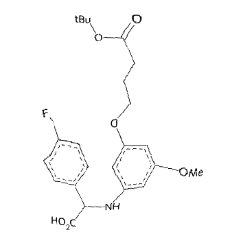 COc1cc(NC(C(=O)O)c2ccc(F)cc2)cc(OCCCC(=O)OC(C)(C)C)c1